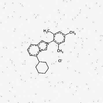 Cc1cc(C)c(-[n+]2cc3cccc(C4CCCCC4)n3c2)c(C)c1.[Cl-]